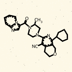 CC1CN(c2nc(C3CCCCC3)c3c(c2C#N)CCOC3)CCN1C(=O)c1cnc2ccccn12